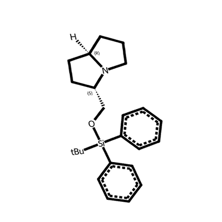 CC(C)(C)[Si](OC[C@@H]1CC[C@H]2CCCN21)(c1ccccc1)c1ccccc1